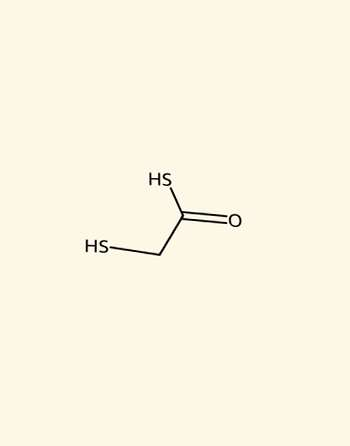 O=C(S)CS